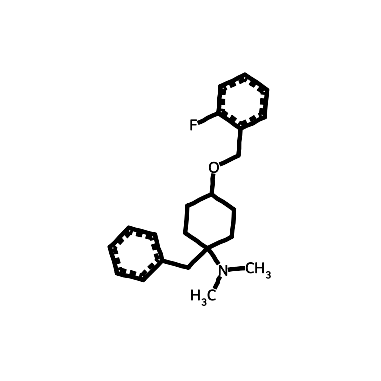 CN(C)C1(Cc2ccccc2)CCC(OCc2ccccc2F)CC1